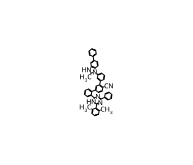 Cc1cccc(C)c1C1=NC(c2ccccc2)=NC(c2ccccc2-c2ccc(C#N)c(-c3cccc(N4c5ccc(-c6ccccc6)cc5NC4C)c3)c2)N1